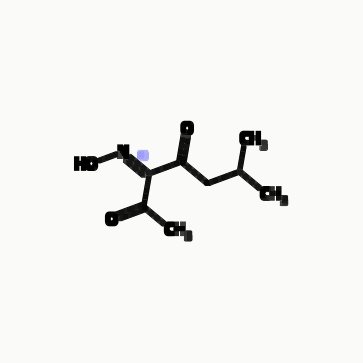 CC(=O)/C(=N\O)C(=O)CC(C)C